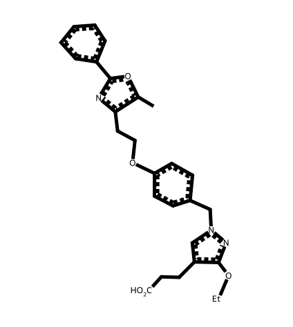 CCOc1nn(Cc2ccc(OCCc3nc(-c4ccccc4)oc3C)cc2)cc1CCC(=O)O